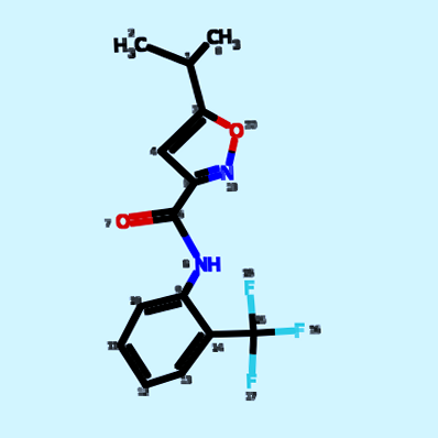 CC(C)c1cc(C(=O)Nc2ccccc2C(F)(F)F)no1